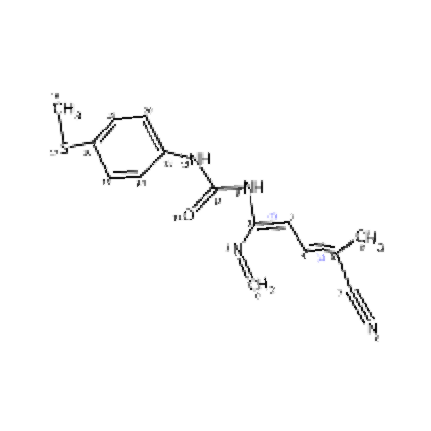 C=N/C(=C\C=C(/C)C#N)NC(=O)Nc1ccc(SC)cc1